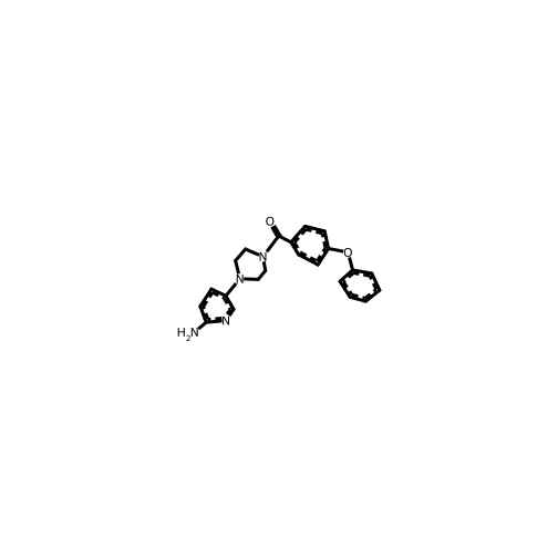 Nc1ccc(N2CCN(C(=O)c3ccc(Oc4ccccc4)cc3)CC2)cn1